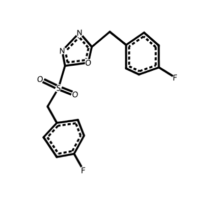 O=S(=O)(Cc1ccc(F)cc1)c1nnc(Cc2ccc(F)cc2)o1